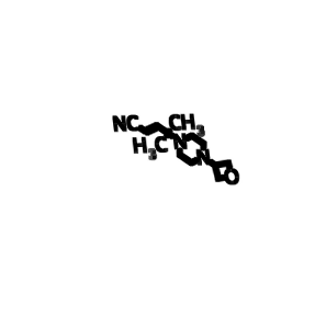 CC(C)(C=CC#N)N1CCN(C2COC2)CC1